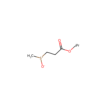 CC(C)OC(=O)CC[S+](C)[O-]